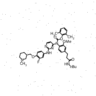 CCCCNC(=O)CCc1ccc(N(C(=O)Oc2c(C)cccc2C)c2ccnc(Nc3ccc(OCC4CCCN(C)C4)c(F)c3)n2)c(OC)c1